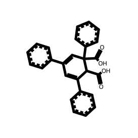 O=C(O)C1C(c2ccccc2)=CC(c2ccccc2)=CC1(C(=O)O)c1ccccc1